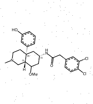 COC1C[C@@H](NC(=O)Cc2ccc(Cl)c(Cl)c2)C[C@]2(c3cccc(O)c3)CCN(C)C[C@@H]12